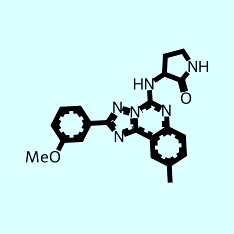 COc1cccc(-c2nc3c4cc(C)ccc4nc(NC4CCNC4=O)n3n2)c1